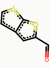 O=Cc1cc2ccsc2s1